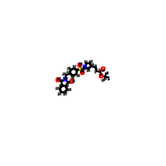 CC(C)(C)OC(=O)C=Cc1ccn(S(=O)(=O)c2ccc(CN3C(=O)c4ccccc4C3=O)cc2)c1